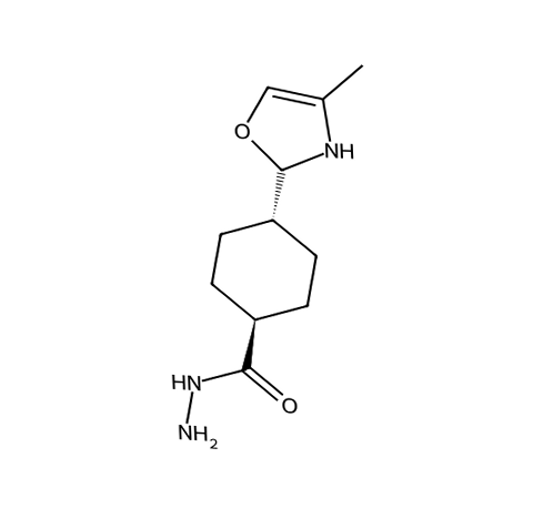 CC1=COC([C@H]2CC[C@H](C(=O)NN)CC2)N1